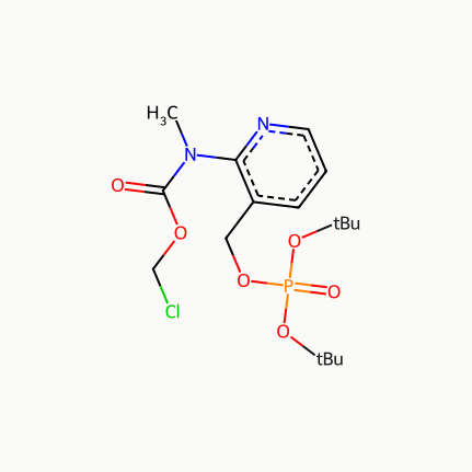 CN(C(=O)OCCl)c1ncccc1COP(=O)(OC(C)(C)C)OC(C)(C)C